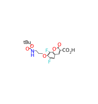 CC(C)(C)OC(=O)NCCCOc1c(F)cc2cc(C(=O)O)c(=O)oc2c1F